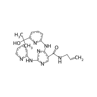 C=CCNC(=O)c1cnc(Nc2ccccn2)nc1Nc1cccc(C(C)(C)O)n1